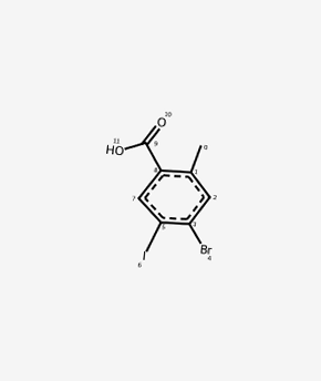 Cc1cc(Br)c(I)cc1C(=O)O